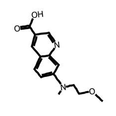 COCCN(C)c1ccc2cc(C(=O)O)cnc2c1